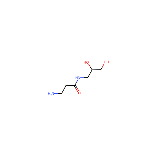 NCCC(=O)NCC(O)CO